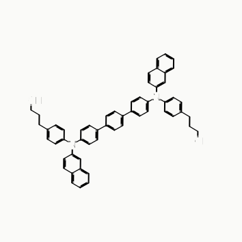 CCCCc1ccc(N(c2ccc(-c3ccc(-c4ccc(N(c5ccc(CCCC)cc5)c5ccc6ccccc6c5)cc4)cc3)cc2)c2ccc3ccccc3c2)cc1